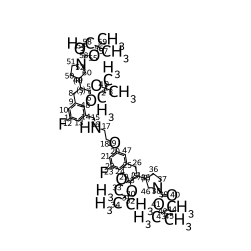 CC(C)(C)OC(=O)[C@@H](Cc1cc(F)cc(CNCCOc2cc(F)cc(C[C@H](C(=O)OC(C)(C)C)[C@H]3CCN(C(=O)OC(C)(C)C)C3)c2)c1)[C@H]1CCN(C(=O)OC(C)(C)C)C1